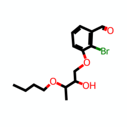 CCCCOC(C)C(O)COc1cccc(C=O)c1Br